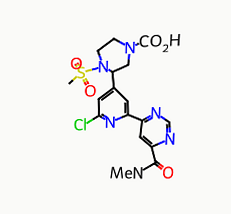 CNC(=O)c1cc(-c2cc(C3CN(C(=O)O)CCN3S(C)(=O)=O)cc(Cl)n2)ncn1